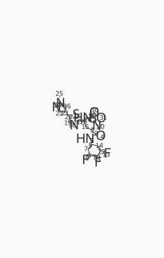 CN1C(C(=O)Nc2cc(F)c(F)c(F)c2)CC(c2ncc(-c3cnn(C)c3)s2)NS1(=O)=O